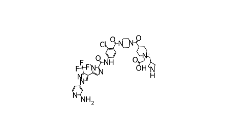 Cn1c(-c2cn(-c3ccnc(N)c3)nc2C(F)(F)F)cnc1C(=O)Nc1ccc(C(=O)N2CCN(C(=O)C3CC[N+](CC(=O)O)(CC4CNC4)CC3)CC2)c(Cl)c1